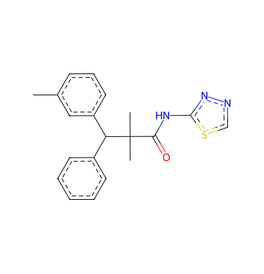 Cc1cccc(C(c2ccccc2)C(C)(C)C(=O)Nc2nncs2)c1